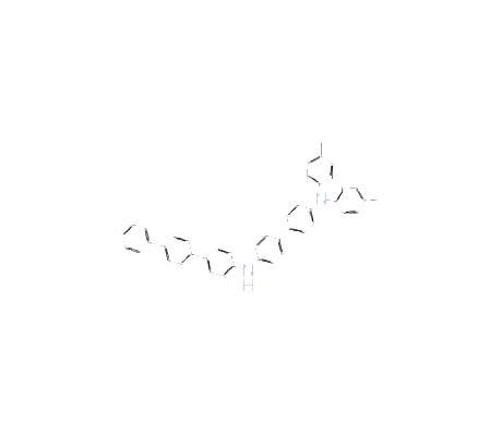 Cc1ccc2c(c1)c1cc(C)ccc1n2-c1ccc(-c2ccc(Nc3ccc(-c4ccc(-c5ccccc5)cc4)cc3)cc2)cc1